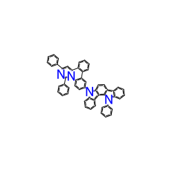 c1ccc(-c2cc(-c3ccccc3-c3cccc(-n4c5ccccc5c5c4ccc4c6ccccc6n(-c6ccccc6)c45)c3)nc(-c3ccccc3)n2)cc1